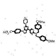 COc1ccc(CN(Cc2ccc(OC)cc2)c2ncc(-c3nc(N4CCOCC4)nc4c3CCN4c3ccc(C(=O)O)cc3)cn2)cc1